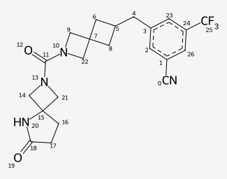 N#Cc1cc(CC2CC3(C2)CN(C(=O)N2CC4(CCC(=O)N4)C2)C3)cc(C(F)(F)F)c1